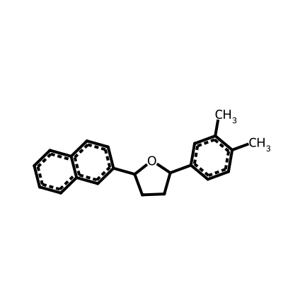 Cc1ccc(C2CCC(c3ccc4ccccc4c3)O2)cc1C